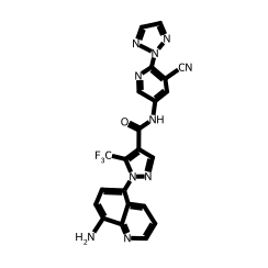 N#Cc1cc(NC(=O)c2cnn(-c3ccc(N)c4ncccc34)c2C(F)(F)F)cnc1-n1nccn1